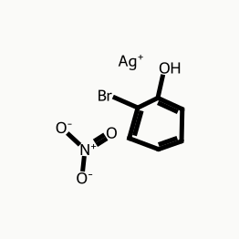 O=[N+]([O-])[O-].Oc1ccccc1Br.[Ag+]